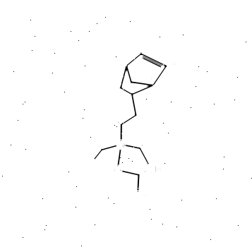 CCO[Si](CC)(CC)CCC1CC2C=CC1C2